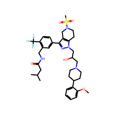 COc1ccccc1C1CCN(CC(O)Cn2nc(-c3ccc(C(F)(F)F)c(CNC(=O)CC(C)C)c3)c3c2CCN(S(C)(=O)=O)C3)CC1